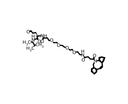 CC(C)C(C)NC(=O)[C@@H](CCC=O)NC(=O)CCOCCOCCOCCOCCNC(=O)CCC(=O)N1Cc2ccccc2C#Cc2ccccc21